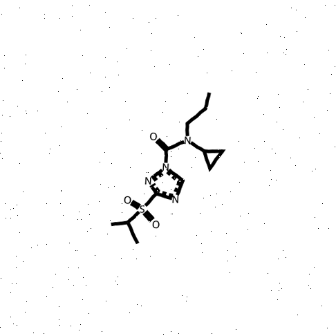 CCCN(C(=O)n1cnc(S(=O)(=O)C(C)C)n1)C1CC1